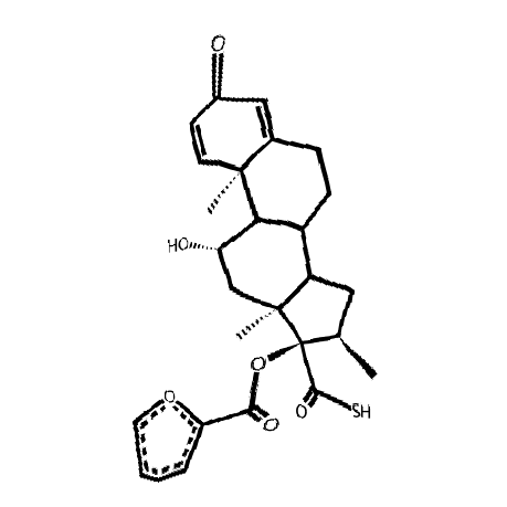 C[C@@H]1CC2C3CCC4=CC(=O)C=C[C@]4(C)C3[C@@H](O)C[C@]2(C)[C@@]1(OC(=O)c1ccco1)C(=O)S